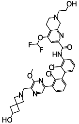 COc1nc(-c2cccc(-c3cccc(NC(=O)c4cc(OC(F)F)c5c(n4)CN(CCO)CC5)c3Cl)c2Cl)cnc1CN1CC2(CC(O)C2)C1